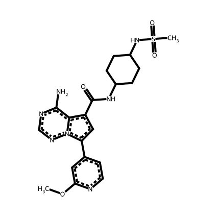 COc1cc(-c2cc(C(=O)NC3CCC(NS(C)(=O)=O)CC3)c3c(N)ncnn23)ccn1